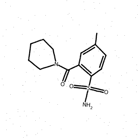 Cc1ccc(S(N)(=O)=O)c(C(=O)N2CCCCC2)c1